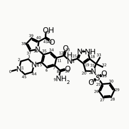 CN1CCN(c2cc(C(N)=O)c(C(=O)Nc3n[nH]c4c3CN(S(=O)(=O)c3ccccc3)C4(C)C)cc2-n2cccc2C(=O)O)CC1